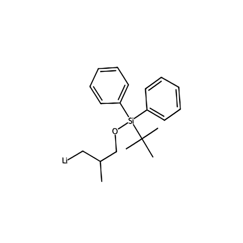 [Li][CH2]C(C)CO[Si](c1ccccc1)(c1ccccc1)C(C)(C)C